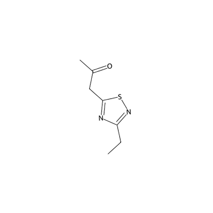 CCc1nsc(CC(C)=O)n1